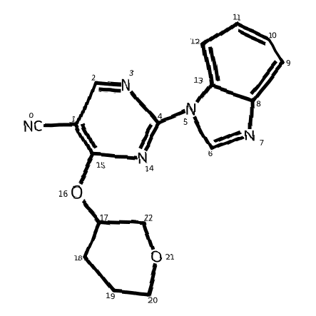 N#Cc1cnc(-n2cnc3ccccc32)nc1OC1CCCOC1